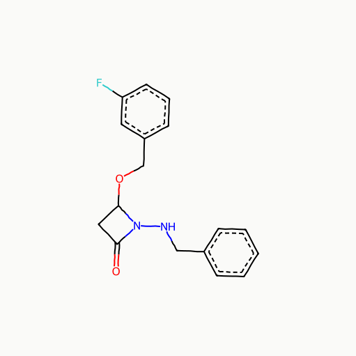 O=C1CC(OCc2cccc(F)c2)N1NCc1ccccc1